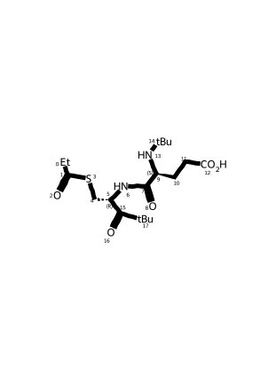 CCC(=O)SC[C@H](NC(=O)[C@H](CCC(=O)O)NC(C)(C)C)C(=O)C(C)(C)C